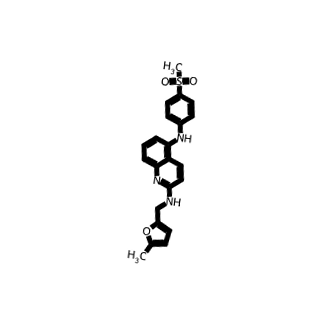 Cc1ccc(CNc2ccc3c(Nc4ccc(S(C)(=O)=O)cc4)cccc3n2)o1